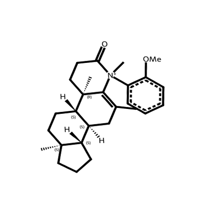 COc1ccccc1[N+]1(C)C(=O)CC[C@@]2(C)C1=C(C)C[C@H]1[C@@H]3CCC[C@@]3(C)CC[C@@H]12